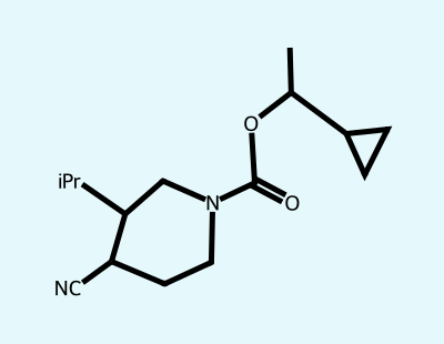 CC(C)C1CN(C(=O)OC(C)C2CC2)CCC1C#N